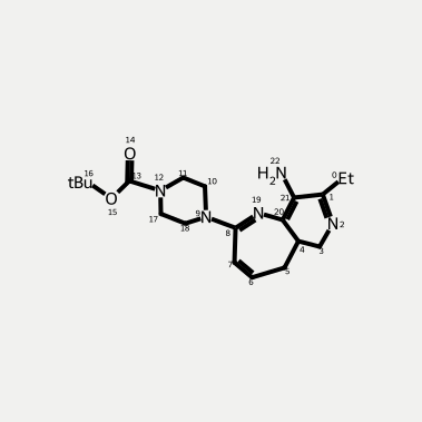 CCC1=NCC2CC=CC(N3CCN(C(=O)OC(C)(C)C)CC3)=NC2=C1N